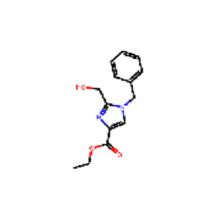 CCOC(=O)c1cn(Cc2ccccc2)c(CO)n1